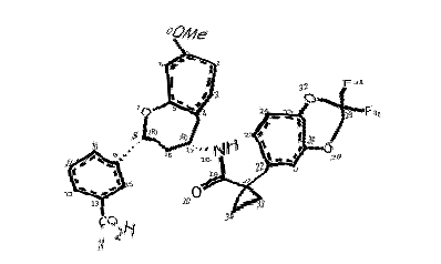 COc1ccc2c(c1)O[C@@H](c1cccc(C(=O)O)c1)C[C@H]2NC(=O)C1(c2ccc3c(c2)OC(F)(F)O3)CC1